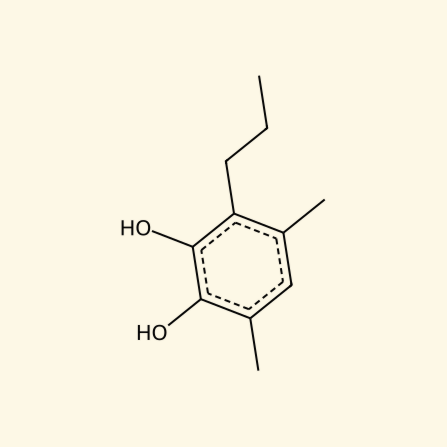 CCCc1c(C)cc(C)c(O)c1O